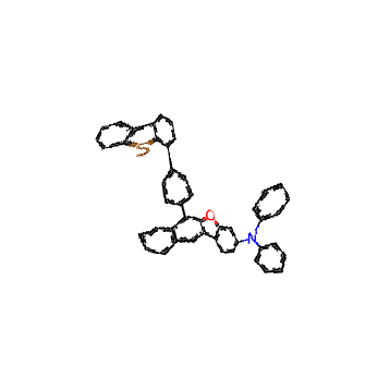 c1ccc(N(c2ccccc2)c2ccc3c(c2)oc2c(-c4ccc(-c5cccc6c5sc5ccccc56)cc4)c4ccccc4cc23)cc1